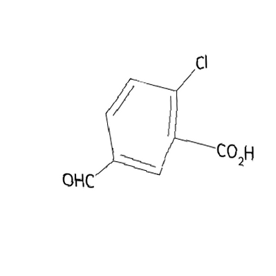 O=Cc1ccc(Cl)c(C(=O)O)c1